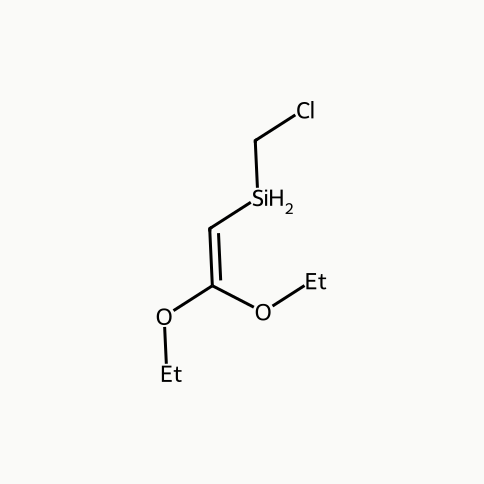 CCOC(=C[SiH2]CCl)OCC